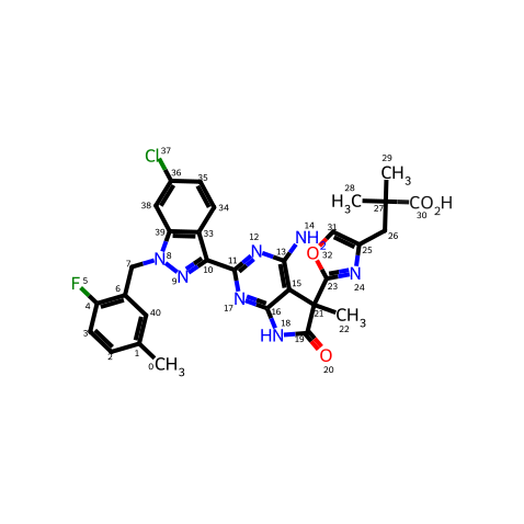 Cc1ccc(F)c(Cn2nc(-c3nc(N)c4c(n3)NC(=O)C4(C)c3nc(CC(C)(C)C(=O)O)co3)c3ccc(Cl)cc32)c1